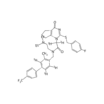 [2H]c1c([2H])c(-c2ccc(C(F)(F)F)cc2)c([2H])c(C)c1CN(CCN(CC)CC)C(=O)C([2H])([2H])n1c(SCc2ccc(F)cc2)nc(=O)c2c1CCC2